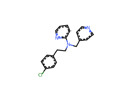 Clc1ccc(CCN(Cc2ccncc2)c2[c]cccn2)cc1